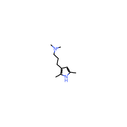 Cc1cc(CCCN(C)C)c(C)[nH]1